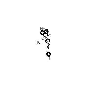 Cl.Nc1ccc2c3c(cccc13)C(=O)N(C1CCN(CCCOc3ccc(F)cc3)CC1)C2=O